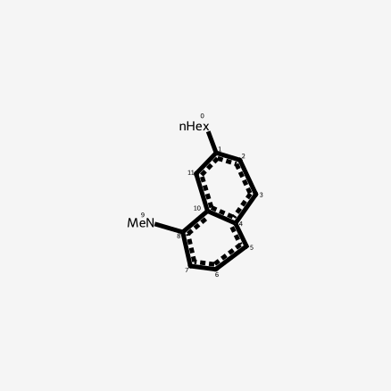 CCCCCCc1ccc2cccc(NC)c2c1